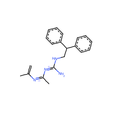 C=C(C)/N=C(C)\N=C(/N)NCC(c1ccccc1)c1ccccc1